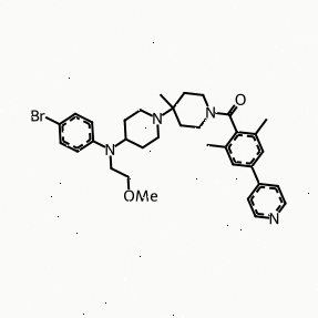 COCCN(c1ccc(Br)cc1)C1CCN(C2(C)CCN(C(=O)c3c(C)cc(-c4ccncc4)cc3C)CC2)CC1